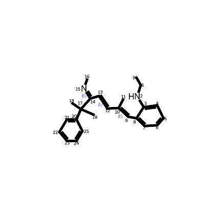 CCNc1ccccc1/C=C(C)/C=C/C(=N\C)C(C)(C)c1ccccc1